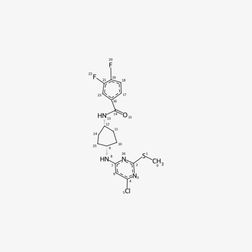 CSc1nc(Cl)cc(N[C@H]2CC[C@@H](NC(=O)c3ccc(F)c(F)c3)CC2)n1